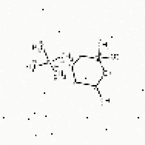 CC1CCC[Si](C)([O-])O1.C[N+](C)(C)C